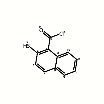 O=C(Cl)c1c(S)ccc2ccccc12